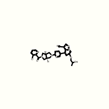 CC(O)COc1cc(-c2ccc(N3C[C@H]4CN(C(=O)c5ncccc5Cl)C[C@H]4C3)nc2)c2c(C#N)cnn2c1